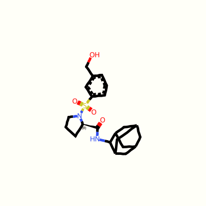 O=C(NC1C2CC3CC(C2)CC1C3)[C@H]1CCCN1S(=O)(=O)c1cccc(CO)c1